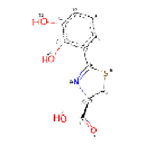 O=C(O)[C@@H]1CSC(c2cccc(O)c2O)=N1